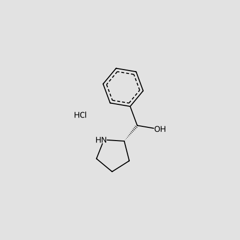 Cl.OC(c1ccccc1)[C@@H]1CCCN1